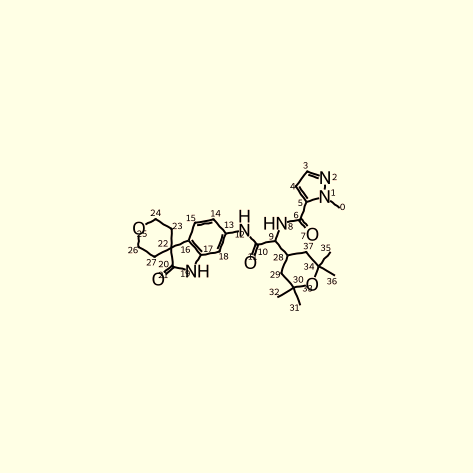 Cn1nccc1C(=O)NC(C(=O)Nc1ccc2c(c1)NC(=O)C21CCOCC1)C1CC(C)(C)OC(C)(C)C1